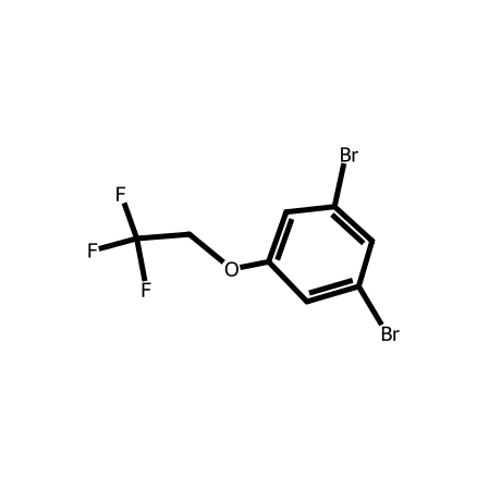 FC(F)(F)COc1cc(Br)cc(Br)c1